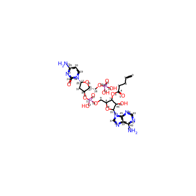 C=CCCC(=O)OC1C(COP(=O)(O)O[C@H]2C[C@H](n3ccc(N)nc3=O)O[C@@H]2COP(=O)(O)O)OC(n2cnc3c(N)ncnc32)C1O